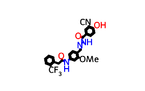 COc1cc(NC(=O)Cc2ccccc2C(F)(F)F)ccc1/C=N/NC(=O)c1ccc(O)c(C#N)c1